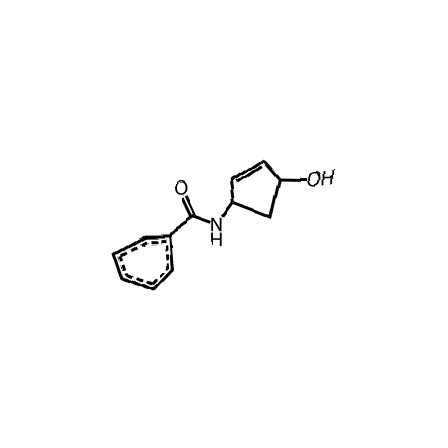 O=C(NC1C=CC(O)C1)c1ccccc1